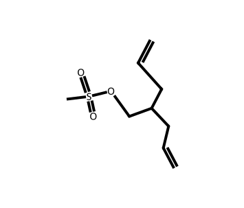 C=CCC(CC=C)COS(C)(=O)=O